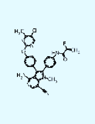 C=C(F)C(=O)Nc1ccc(-c2c(-c3ccc(Oc4ncc(Cl)c(C)n4)cc3)c3c(N)ncc(C#N)c3n2C)cc1